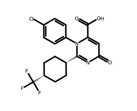 O=C(O)c1cc(=O)nc([C@H]2CC[C@@H](C(F)(F)F)CC2)n1-c1ccc(Cl)cc1